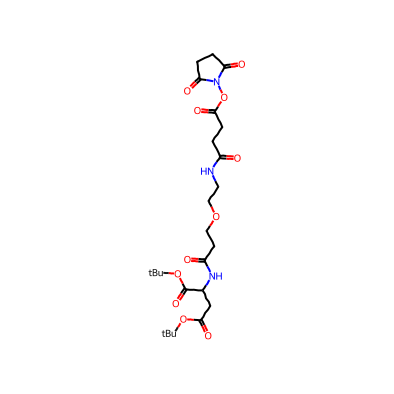 CC(C)(C)OC(=O)CC(NC(=O)CCOCCNC(=O)CCC(=O)ON1C(=O)CCC1=O)C(=O)OC(C)(C)C